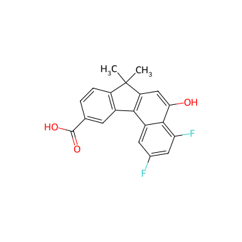 CC1(C)c2ccc(C(=O)O)cc2-c2c1cc(O)c1c(F)cc(F)cc21